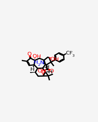 CC1=C[C@H]2[C@@]3(O)[C@H](C)C[C@]4(OC(=O)[C@@H](N)C(C)(C)c5ccc(C(F)(F)F)cc5)[C@H]([C@@H]3C=C(CO)C[C@]2(O)C1=O)C4(C)C